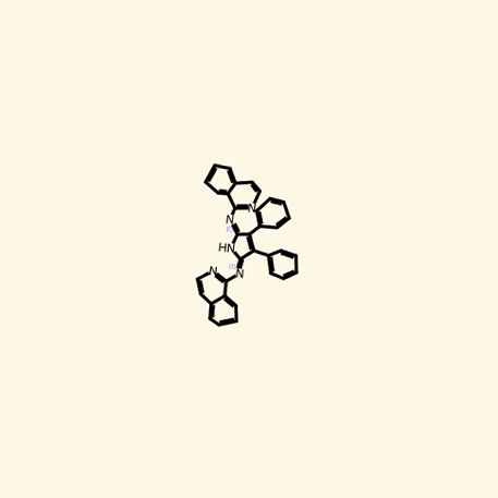 c1ccc(C2=C(c3ccccc3)C(=N\c3nccc4ccccc34)/N/C2=N\c2nccc3ccccc23)cc1